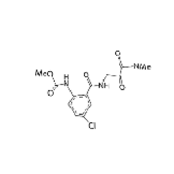 CNC(=O)C(=O)CNC(=O)c1cc(Cl)ccc1NC(=O)OC